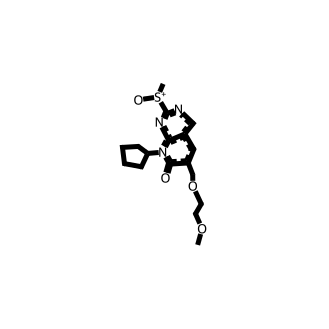 COCCOCc1cc2cnc([S+](C)[O-])nc2n(C2CCCC2)c1=O